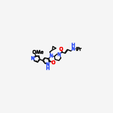 COc1cc(-c2c[nH]c(=O)c(N(CC3CC3)C3CCCN(C(=O)/C=C/CNC(C)C)C3)c2)ccn1